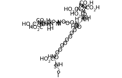 O=C(O)CC[C@H](NC(=O)N[C@@H](CCCCNC(=O)Nc1cccc(-c2cn(CCOCCOCCOCCC(=O)N[C@@H](CCCCNC(=S)Nc3ccc(CC4CN(CC(=O)O)CCN(CC(=O)O)CCN(CC(=O)O)CCN4CC(=O)O)cc3)C(=O)NCCOCCOCCOCCOCCOCCOCCOCCOCCC(=O)N[C@@H](CCCCNC(=S)CCCc3ccc(I)cc3)C(=O)O)nn2)c1)C(=O)O)C(=O)O